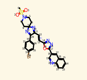 CS(=O)(=O)N1CCC2(CC1)N=C(/C=C/c1nnc(-c3cnc4ccccc4c3)o1)C(c1ccc(Br)cc1)=N2